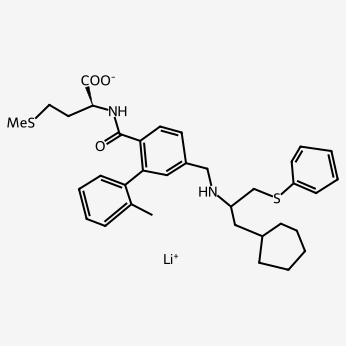 CSCC[C@H](NC(=O)c1ccc(CNC(CSc2ccccc2)CC2CCCCC2)cc1-c1ccccc1C)C(=O)[O-].[Li+]